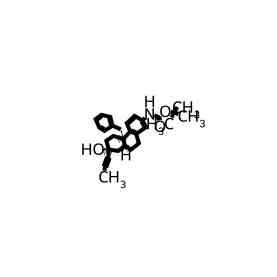 CC#C[C@@]1(O)CC[C@@]2(Cc3ccccc3)c3ccc(NC(=O)OC(C)(C)C)cc3CC[C@@H]2C1